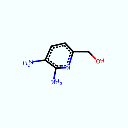 Nc1ccc(CO)nc1N